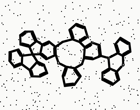 c1ccc2c(c1)Cc1cc(N3c4ccccc4Oc4ccccc43)cnc1-c1ncccc1Cc1cc3c(cc1O2)C1(c2ccccc2-c2ccccc21)c1ccccc1-3